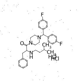 CC(C)CCNC(Cc1ccccc1)C(=O)N1CCN(C(c2ccc(F)cc2)c2ccc(F)cc2)CC1.Cl.Cl